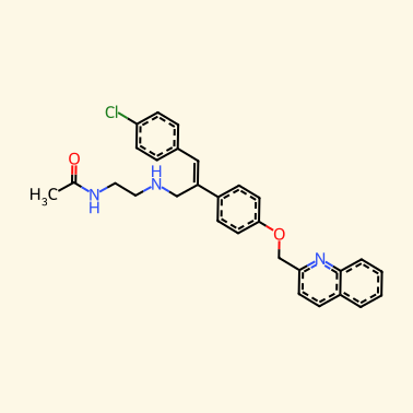 CC(=O)NCCNCC(=Cc1ccc(Cl)cc1)c1ccc(OCc2ccc3ccccc3n2)cc1